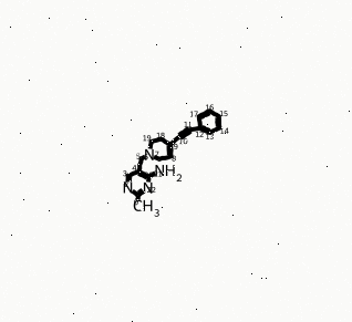 Cc1ncc(CN2CC=C(C#Cc3ccccc3)CC2)c(N)n1